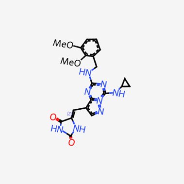 COc1cccc(CNc2nc(NC3CC3)n3ncc(/C=C4\NC(=O)NC4=O)c3n2)c1OC